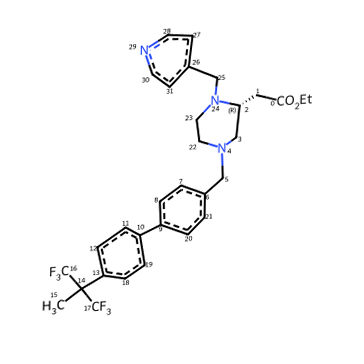 CCOC(=O)C[C@@H]1CN(Cc2ccc(-c3ccc(C(C)(C(F)(F)F)C(F)(F)F)cc3)cc2)CCN1Cc1ccncc1